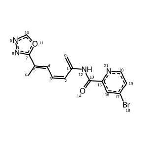 C=C(/C=C\C=C(/C)c1nnco1)NC(=O)c1cc(Br)ccn1